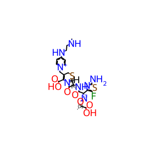 CNCCNc1cc[n+](CC2=C(C(=O)O)N3C(=O)[C@@H](NC(=O)/C(=N\O[C@@H](C)C(=O)O)c4nc(N)sc4F)[C@H]3SC2)cc1